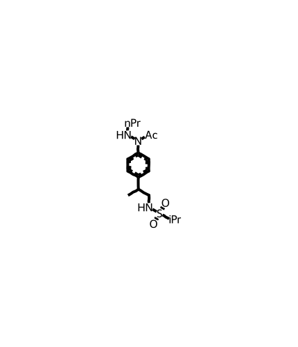 CCCNN(C(C)=O)c1ccc(C(C)CNS(=O)(=O)C(C)C)cc1